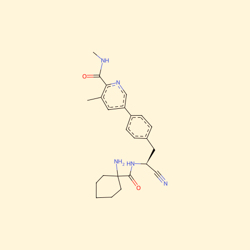 CNC(=O)c1ncc(-c2ccc(C[C@@H](C#N)NC(=O)C3(N)CCCCC3)cc2)cc1C